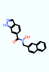 O=C(c1ccc2cn[nH]c2c1)N(O)Cc1ccc2ccccc2c1